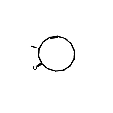 C[C@H]1C/C=C\CCCCCCCCC(=O)C1